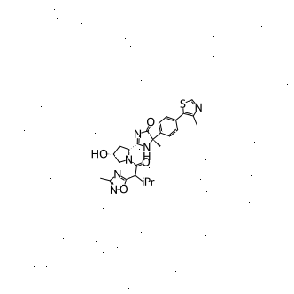 Cc1noc(C(C(=O)N2C[C@H](O)C[C@@H]2C2=NC(=O)[C@](C)(c3ccc(-c4scnc4C)cc3)N2)C(C)C)n1